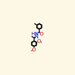 COc1ccc(/C(C)=N/NC(=O)c2cccc(C)c2)c(OC)c1